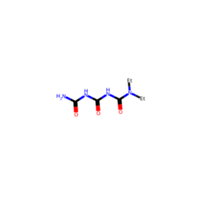 CCN(CC)C(=O)NC(=O)NC(N)=O